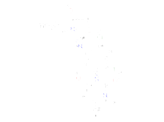 CC(C(=O)O)N1C(=O)CS/C1=N\c1cc(-n2c(=O)cc(C(F)(F)F)n(C)c2=O)c(F)cc1Cl